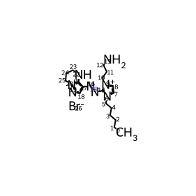 CCCCCCn1cc[n+](CCCN)c1/N=N/c1cnn2c1NCCC2.[Br-]